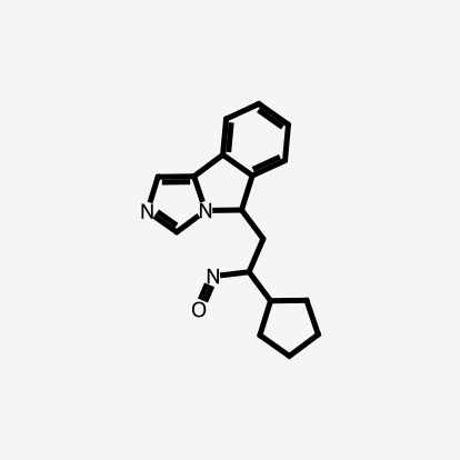 O=NC(CC1c2ccccc2-c2cncn21)C1CCCC1